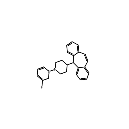 FC1=CC=CN(N2CCC(C3c4ccccc4C=Cc4ccccc43)CC2)C1